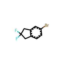 FC1(F)Cc2ccc(Br)cc2C1